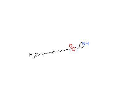 CCCCCCCC=CCCCCCCCC(=O)OCCC1CCNCC1